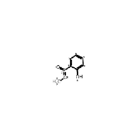 CO[PH](=O)c1ccccc1O